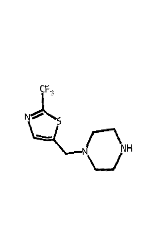 FC(F)(F)c1ncc(CN2CCNCC2)s1